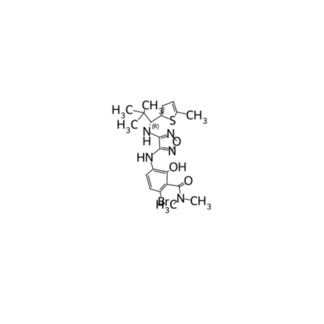 Cc1ccc([C@H](Nc2nonc2Nc2ccc(Br)c(C(=O)N(C)C)c2O)C(C)(C)C)s1